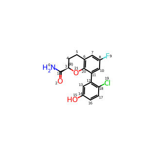 NC(=O)[C@H]1CCc2cc(F)cc(-c3cc(O)ccc3Cl)c2O1